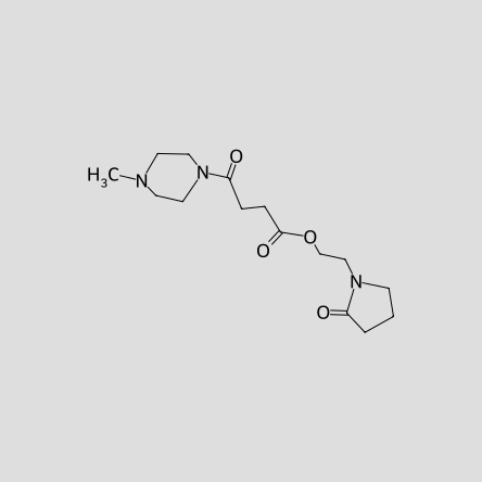 CN1CCN(C(=O)CCC(=O)OCCN2CCCC2=O)CC1